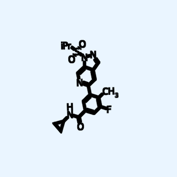 Cc1c(F)cc(C(=O)NC2CC2)cc1-c1cc2cnn(S(=O)(=O)C(C)C)c2cn1